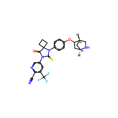 N#Cc1ncc(N2C(=O)C3(CCC3)N(c3ccc(OC4C[C@H]5C[C@H]4CN5)cc3)C2=S)cc1C(F)(F)F